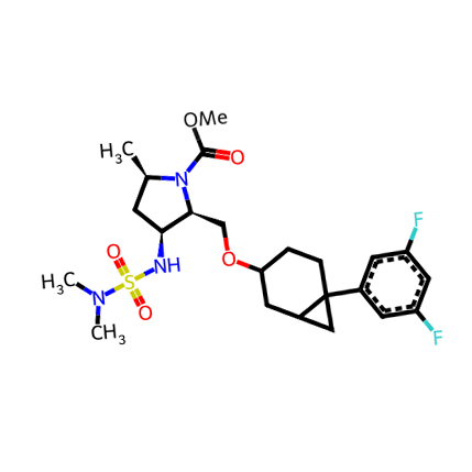 COC(=O)N1[C@H](C)C[C@H](NS(=O)(=O)N(C)C)[C@@H]1COC1CCC2(c3cc(F)cc(F)c3)CC2C1